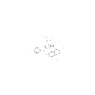 CC(C)(C)CNc1c(C#N)cnc2c(C#N)cc(N[C@H](C3=CN(C4(C(N)=O)CCC4)NN3)c3ccc(F)cc3)cc12